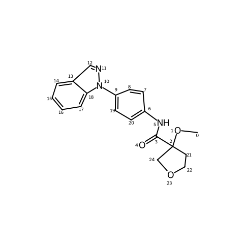 COC1(C(=O)Nc2ccc(-n3ncc4ccccc43)cc2)CCOC1